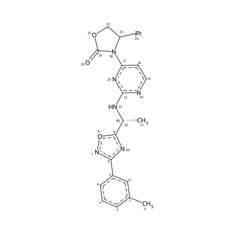 Cc1cccc(-c2noc([C@@H](C)Nc3nccc(N4C(=O)OCC4C(C)C)n3)n2)c1